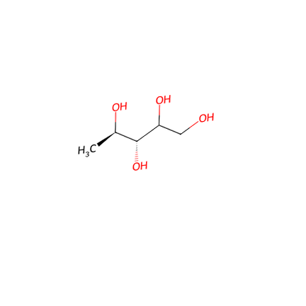 C[C@@H](O)[C@@H](O)C(O)CO